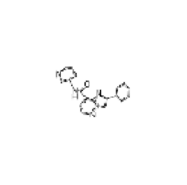 O=C(Nc1cccnc1)c1ccnn2cc(-c3ccccc3)nc12